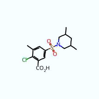 Cc1cc(S(=O)(=O)N2CC(C)CC(C)C2)cc(C(=O)O)c1Cl